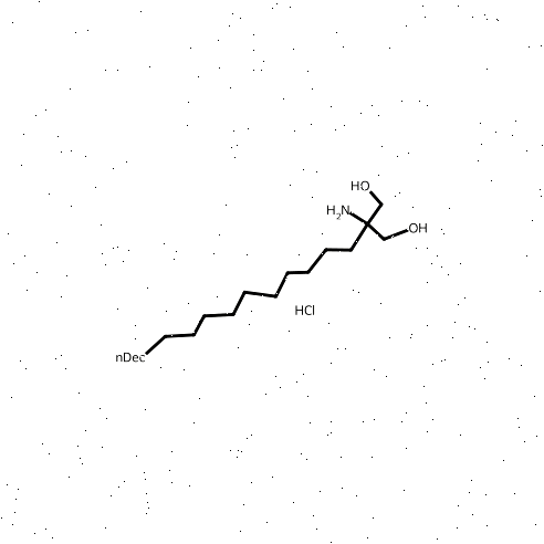 CCCCCCCCCCCCCCCCCCCCC(N)(CO)CO.Cl